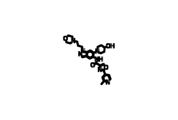 Cc1cc(-c2nc(C(=O)Nc3cc4cnn(CCCN5CCOCC5)c4cc3N3CCC(O)CC3)co2)ccn1